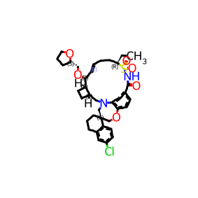 CC[C@@H]1CC/C=C/[C@H](OC[C@@H]2CCCO2)[C@@H]2CC[C@H]2CN2C[C@@]3(CCCc4cc(Cl)ccc43)COc3ccc(cc32)C(=O)NS1(=O)=O